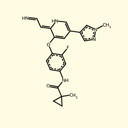 Cn1cc(C2=CN/C(=C\C=N)C(Oc3ccc(NC(=O)C4(C)CC4)cc3F)=C2)cn1